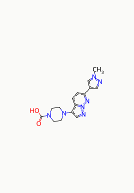 Cn1cc(-c2ccc3c(N4CCN(C(=O)O)CC4)cnn3n2)cn1